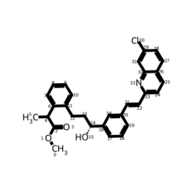 COC(=O)C(C)c1ccccc1CC[C@@H](O)c1cccc(C=Cc2ccc3ccc(Cl)cc3n2)c1